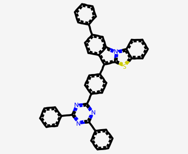 c1ccc(-c2ccc3c(-c4ccc(-c5nc(-c6ccccc6)nc(-c6ccccc6)n5)cc4)c4sc5ccccc5n4c3c2)cc1